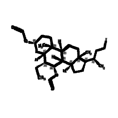 CC[C@H]1[C@@H](OC=O)[C@@H]2[C@H](CC[C@]3(C)[C@@H]([C@H](C)CCI)CC[C@@H]23)[C@@]2(C)CC[C@@H](OC=O)C[C@@H]12